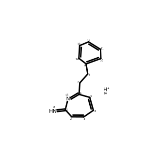 N=c1ccccc(CCc2ccccc2)n1.[H+]